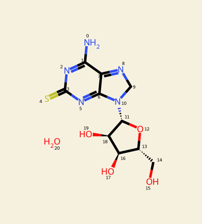 NC1=NC(=S)N=C2C1=NCN2[C@@H]1O[C@H](CO)[C@@H](O)[C@H]1O.O